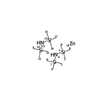 C[Si](C)(C)N[Si](C)(C)C.C[Si](C)(C)N[Si](C)(C)C.[Zn]